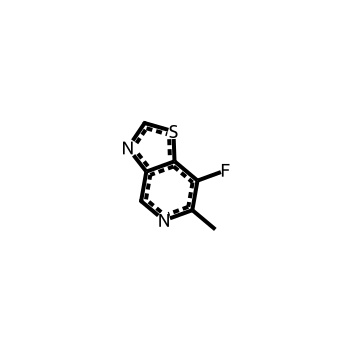 Cc1ncc2ncsc2c1F